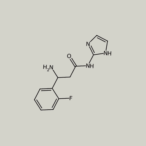 NC(CC(=O)Nc1ncc[nH]1)c1ccccc1F